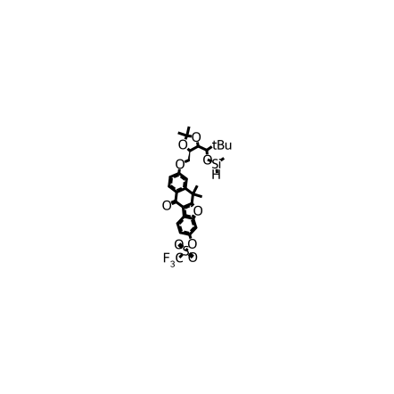 C[SiH](C)OC(C1OC(C)(C)O[C@@H]1COc1ccc2c(c1)C(C)(C)c1oc3cc(OS(=O)(=O)C(F)(F)F)ccc3c1C2=O)C(C)(C)C